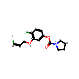 O=C(Oc1ccc(Cl)c(OC/C=C\Cl)c1)N1CCCC1